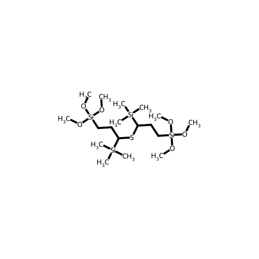 CO[Si](CCC(SC(CC[Si](OC)(OC)OC)[Si](C)(C)C)[Si](C)(C)C)(OC)OC